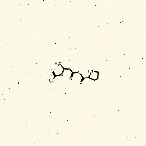 CC(=O)SC(C)CC(=O)OC(=O)[C@@H]1CCCN1